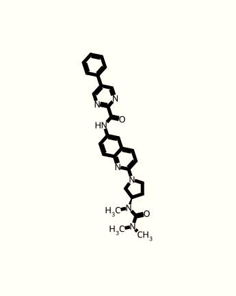 CN(C)C(=O)N(C)[C@@H]1CCN(c2ccc3cc(NC(=O)c4ncc(-c5ccccc5)cn4)ccc3n2)C1